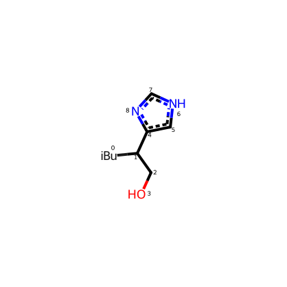 CCC(C)C(CO)c1c[nH]cn1